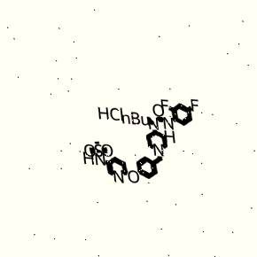 CCCCN(C(=O)Nc1ccc(F)cc1F)C1CCN(Cc2ccc(Oc3ccc(NS(C)(=O)=O)cn3)cc2)CC1.Cl